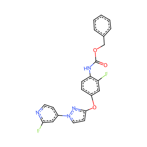 O=C(Nc1ccc(Oc2ccn(-c3ccnc(F)c3)n2)cc1F)OCc1ccccc1